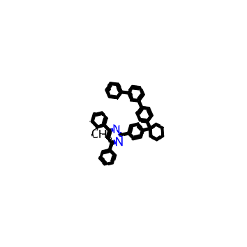 CC1CC=CC=C1c1cc(-c2ccccc2)nc(-c2ccc(C3(c4ccc(-c5cccc(-c6ccccc6)c5)cc4)CCCCC3)cc2)n1